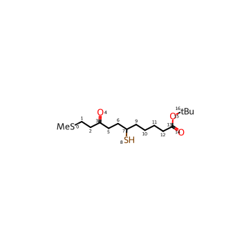 CSCCC(=O)CCC(S)CCCCC(=O)OC(C)(C)C